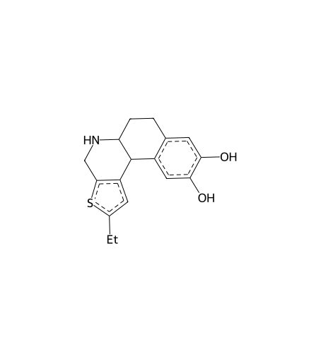 CCc1cc2c(s1)CNC1CCc3cc(O)c(O)cc3C21